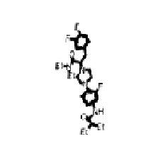 CCC(CC)C(=O)Nc1ccc(N2CCN(C(Cc3ccc(F)c(F)c3)C(=O)N(CC)CC)CC2)c(F)c1